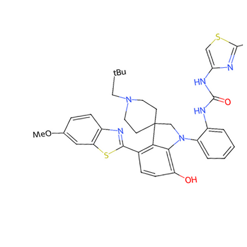 COc1ccc2nc(-c3ccc(O)c4c3C3(CCN(CC(C)(C)C)CC3)CN4c3ccccc3NC(=O)Nc3csc(C)n3)sc2c1